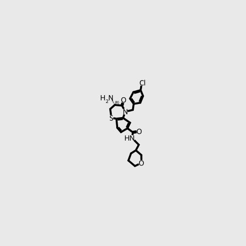 N[C@H]1CSc2ccc(C(=O)NCC3CCCOC3)cc2N(Cc2ccc(Cl)cc2)C1=O